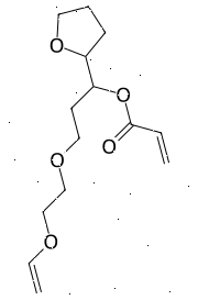 C=COCCOCCC(OC(=O)C=C)C1CCCO1